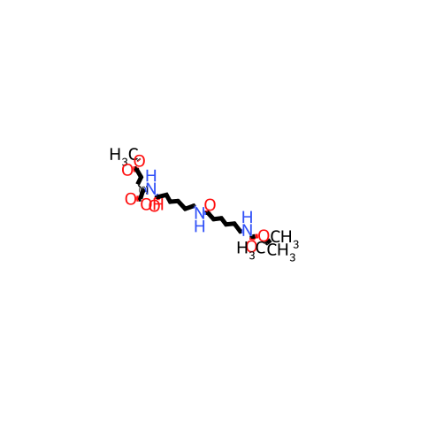 COC(=O)CC[C@H](NC(=O)CCCCCNC(=O)CCCCCNC(=O)OC(C)(C)C)C(=O)O